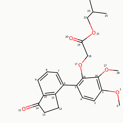 COc1ccc(-c2cccc3c2CCC3=O)c(OCC(=O)OCC(C)C)c1OC